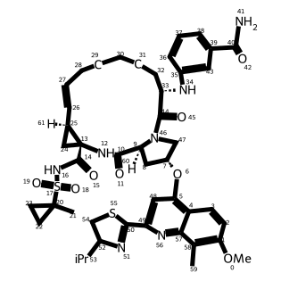 COc1ccc2c(O[C@@H]3C[C@H]4C(=O)N[C@]5(C(=O)NS(=O)(=O)C6(C)CC6)C[C@H]5/C=C\CCCCC[C@H](Nc5cccc(C(N)=O)c5)C(=O)N4C3)cc(C3=NC(C(C)C)CS3)nc2c1C